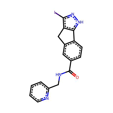 O=C(NCc1ccccn1)c1ccc2c(c1)Cc1c(I)n[nH]c1-2